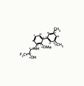 COc1c(NCC(O)C(F)(F)F)cccc1-c1cc(C)cc(C)c1